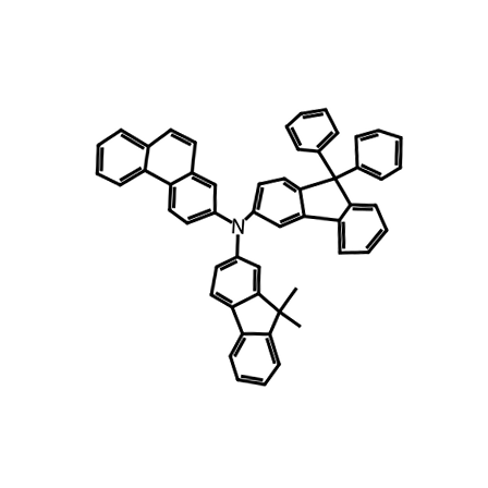 CC1(C)c2ccccc2-c2ccc(N(c3ccc4c(c3)-c3ccccc3C4(c3ccccc3)c3ccccc3)c3ccc4c(ccc5ccccc54)c3)cc21